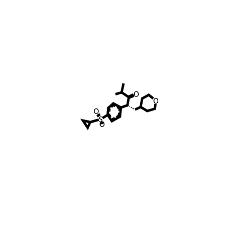 CC(C)C(=O)[C@H](CC1CCOCC1)c1ccc(S(=O)(=O)C2CC2)cc1